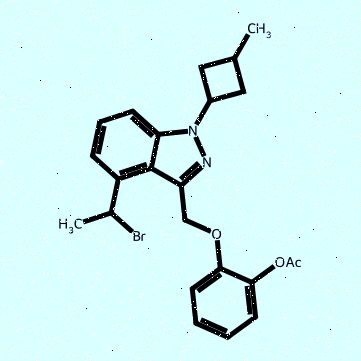 CC(=O)Oc1ccccc1OCc1nn(C2CC(C)C2)c2cccc(C(C)Br)c12